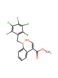 COC(=O)/C(=C/O)c1ccccc1SCc1c(F)c(F)c(F)c(F)c1F